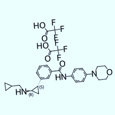 O=C(Nc1ccc(N2CCOCC2)cc1)c1cccc([C@@H]2C[C@H]2NCC2CC2)c1.O=C(O)C(F)(F)F.O=C(O)C(F)(F)F